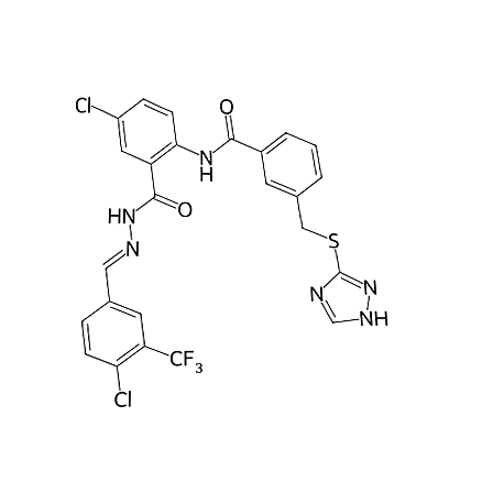 O=C(Nc1ccc(Cl)cc1C(=O)NN=Cc1ccc(Cl)c(C(F)(F)F)c1)c1cccc(CSc2nc[nH]n2)c1